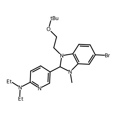 CCN(CC)c1ccc(C2N(C)c3cc(Br)ccc3N2CCOC(C)(C)C)cn1